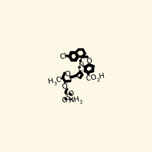 C[C@H]1CO[C@H]([C@@H]2CC[C@H]2CN2C[C@@]3(CCCc4cc(Cl)ccc43)COc3ccc(C(=O)O)cc32)C[C@H]1OCCS(N)(=O)=O